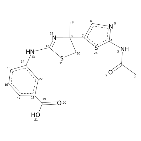 CC(=O)Nc1ncc(C2(C)CSC(Nc3cccc(C(=O)O)c3)=N2)s1